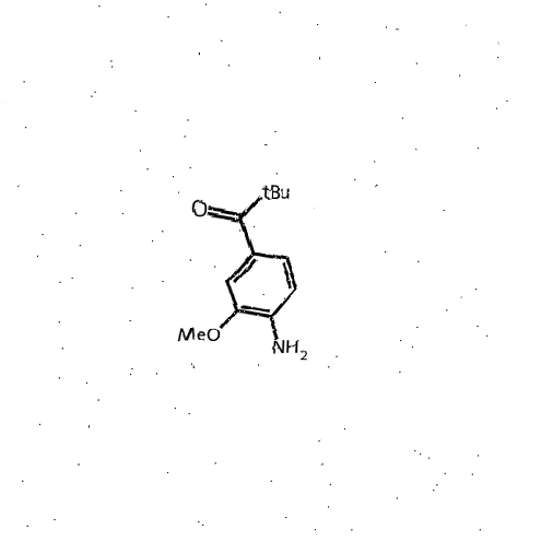 COc1cc(C(=O)C(C)(C)C)ccc1N